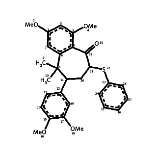 COc1cc(OC)c2c(c1)C(C)(C)C(c1ccc(OC)c(OC)c1)CC(Sc1ccccc1)C2=O